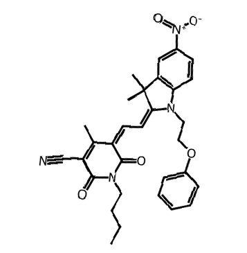 CCCCN1C(=O)C(C#N)=C(C)/C(=C/C=C2/N(CCOc3ccccc3)c3ccc([N+](=O)[O-])cc3C2(C)C)C1=O